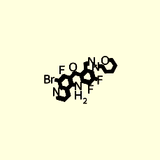 Nc1c(C(=O)c2cc(F)c(F)c3c2cnn3C2CCCCO2)c(F)c(Br)c2ncccc12